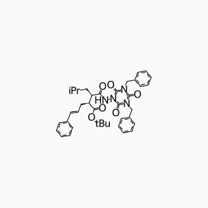 CC(C)C[C@@H](C(=O)Nn1c(=O)n(Cc2ccccc2)c(=O)n(Cc2ccccc2)c1=O)[C@H](C/C=C/c1ccccc1)C(=O)OC(C)(C)C